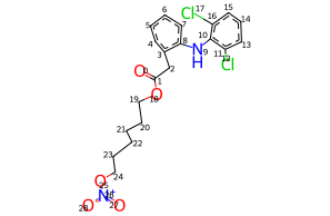 O=C(Cc1ccccc1Nc1c(Cl)cccc1Cl)OCCCCCCO[N+](=O)[O-]